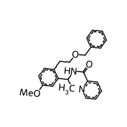 COc1ccc(CCOCc2ccccc2)c(C(C)NC(=O)c2ccccn2)c1